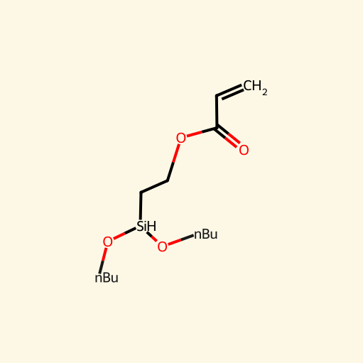 C=CC(=O)OCC[SiH](OCCCC)OCCCC